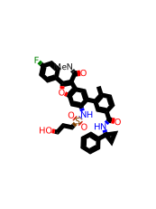 CNC(=O)c1c(-c2ccc(F)cc2)oc2cc(NS(=O)(=O)CCCO)c(-c3cc(C(=O)NC4(c5ccccc5)CC4)ccc3C)cc12